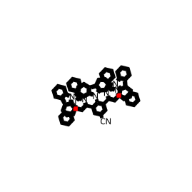 N#Cc1cc(-c2cc(-c3ccccc3)nc(-c3ccccc3)n2)c(-n2c3cc(-n4c5ccccc5c5ccccc54)ccc3c3ccc(-n4c5ccccc5c5ccccc54)cc32)c(-c2cc(-c3ccccc3)nc(-c3ccccc3)n2)c1